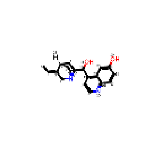 C/C=C1/C[N@]2CC[C@H]1CC2C(O)c1ccnc2ccc(O)cc12